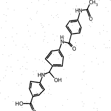 CC(=O)Nc1ccc(C(=O)Nc2ccc(C(O)Nc3ccc(C(=O)O)cc3)cc2)cc1